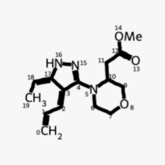 C=C/C=c1/c(N2CCOCC2CC(=O)OC)n[nH]/c1=C/C